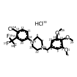 COc1cc(CN2CCN(c3ccc(Cl)c(C(F)(F)F)c3)CC2)cc(OC)c1OC.Cl